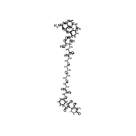 CN1C(=O)CCC(N2C(=O)c3cccc(OCC(=O)NCCOCCOCCOCCNC(=O)CCC(NC(=O)c4ccc(N(C)Cc5cnc6nc(N)nc(N)c6n5)cc4)C(=O)O)c3C2=O)C1=O